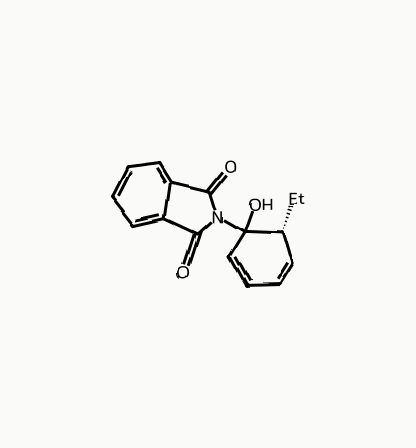 CC[C@@H]1C=CC=CC1(O)N1C(=O)c2ccccc2C1=O